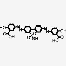 O=C(O)c1cc(/N=N/c2ccc(-c3ccc(/N=N/c4ccc(O)c(C(=O)O)c4)cc3S(=O)(=O)O)cc2)ccc1O